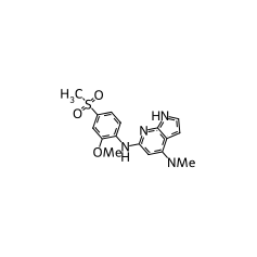 CNc1cc(Nc2ccc(S(C)(=O)=O)cc2OC)nc2[nH]ccc12